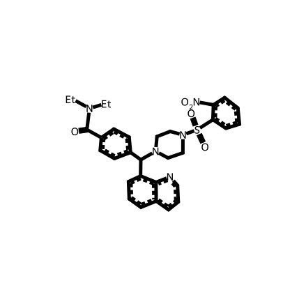 CCN(CC)C(=O)c1ccc(C(c2cccc3cccnc23)N2CCN(S(=O)(=O)c3ccccc3[N+](=O)[O-])CC2)cc1